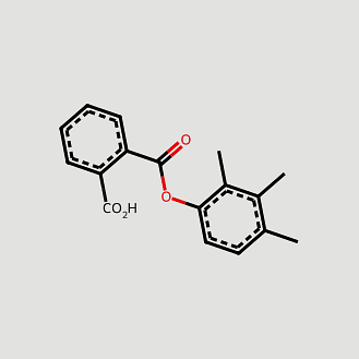 Cc1ccc(OC(=O)c2ccccc2C(=O)O)c(C)c1C